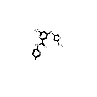 Cc1cc(O[C@H]2CO[C@@H](C)C2)cc(C(=O)Nc2ccc(F)cn2)n1